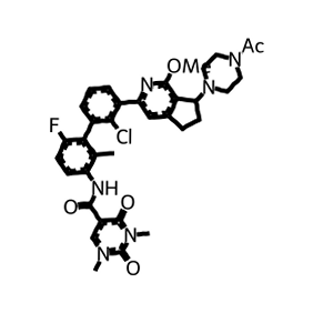 COc1nc(-c2cccc(-c3c(F)ccc(NC(=O)c4cn(C)c(=O)n(C)c4=O)c3C)c2Cl)cc2c1C(N1CCN(C(C)=O)CC1)CC2